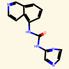 O=C(Nc1cnccn1)Nc1cccc2cnccc12